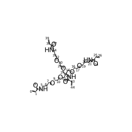 C=CC(=O)NCCCOCCOCC(COCCOCCCNC(=O)C=C)(COCCOCCCNC(=O)C=C)NC(=O)C=C